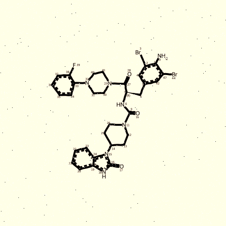 Nc1c(Br)cc(C[C@@H](NC(=O)N2CCC(n3c(=O)[nH]c4ccccc43)CC2)C(=O)N2CCN(c3ccccc3F)CC2)cc1Br